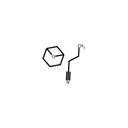 C1CC2CC(C1)O2.CCCC#N